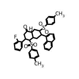 Cc1ccc(S(=O)(=O)C2C[C@H]3C(=O)CC(c4ccccc4F)C(S(=O)(=O)c4ccc(C)cc4)C3CC2c2cccc3ccccc23)cc1